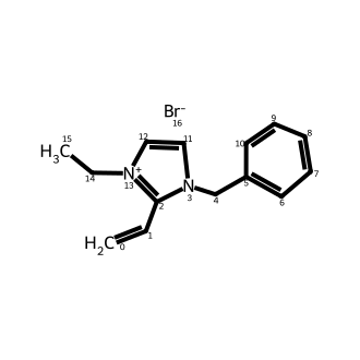 C=Cc1n(Cc2ccccc2)cc[n+]1CC.[Br-]